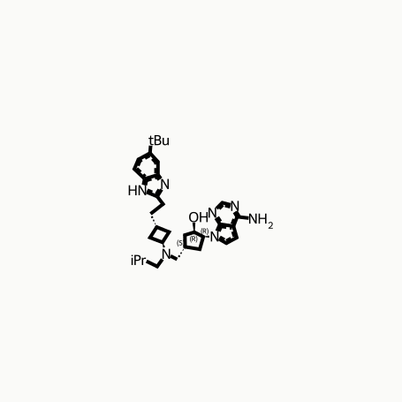 CC(C)CN(C[C@@H]1C[C@@H](O)[C@H](n2ccc3c(N)ncnc32)C1)[C@H]1C[C@@H](CCc2nc3cc(C(C)(C)C)ccc3[nH]2)C1